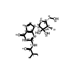 CC(C)C(=O)Nc1nc2c(c(=O)[nH]1)N=CC2[C@@H]1O[C@H](CO)[C@@H](F)C1(O)O